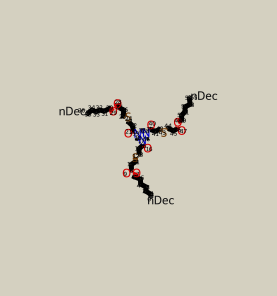 CCCCCCCCCCCCCCCCOC(=O)CCSCCC(=O)N1CN(C(=O)CCSCCC(=O)OCCCCCCCCCCCCCCCC)CN(C(=O)CCSCCC(=O)OCCCCCCCCCCCCCCCC)C1